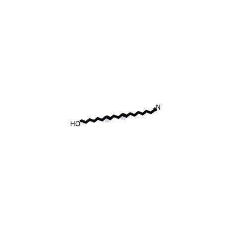 N#CCCCCCC/C=C/CC/C=C/CCCCCCO